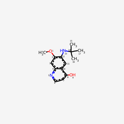 COc1cc2nccc(O)c2cc1NC(C)(C)C